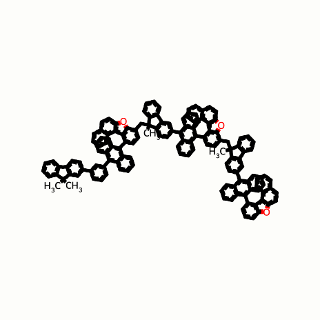 CC1(C)c2ccccc2-c2ccc(-c3cccc(-c4c5ccccc5c(-c5ccc(CC6(C)c7ccccc7-c7cc(-c8c9ccccc9c(-c9ccc(CC%10(C)c%11ccccc%11-c%11cc(-c%12c%13ccccc%13c(-c%13cccc%14oc%15ccc%16ccccc%16c%15c%13%14)c%13ccccc%12%13)ccc%11%10)c%10oc%11ccc%12ccccc%12c%11c9%10)c9ccccc89)ccc76)c6oc7ccc8ccccc8c7c56)c5ccccc45)c3)cc21